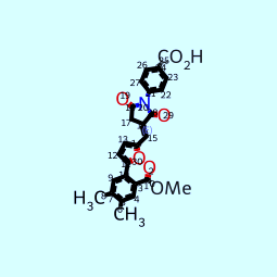 COC(=O)c1cc(C)c(C)cc1-c1ccc(/C=C2\CC(=O)N(c3ccc(C(=O)O)cc3)C2=O)o1